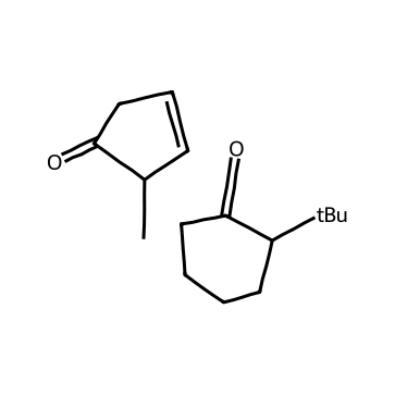 CC(C)(C)C1CCCCC1=O.CC1C=CCC1=O